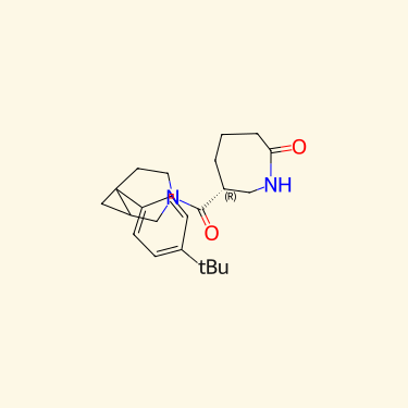 CC(C)(C)c1ccc(C23CCN(C(=O)[C@@H]4CCCC(=O)NC4)CC2C3)cc1